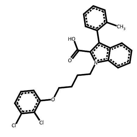 Cc1ccccc1-c1c(C(=O)O)n(CCCCOc2cccc(Cl)c2Cl)c2ccccc12